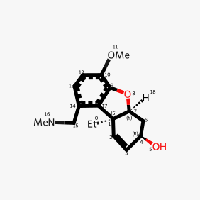 CC[C@@]12C=C[C@H](O)C[C@@H]1Oc1c(OC)ccc(CNC)c12